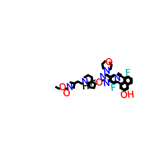 C#Cc1c(F)ccc2cc(O)cc(-c3ncc4c(N5CCCOCC5)nc(OC[C@]56CCC[C@H]5N(CCC5CN(C(=O)OCC)C5)CCC6)nc4c3F)c12